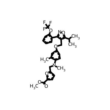 COC(=O)c1ccc(CN(C)c2ccc(OCc3c(-c4ccccc4OC(F)(F)F)noc3C(C)C)cc2C)o1